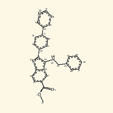 COC(=O)c1ccc2nc(-c3ccc(-c4cncnc4)cc3)c(NCc3ccccc3)n2c1